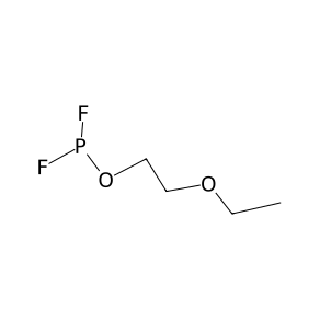 CCOCCOP(F)F